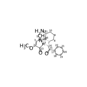 COC1=C[N@@+](C)([C@H]2CCCCC2N)[C@H](CC(=O)c2ccccc2)C1=O